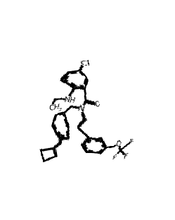 CCNc1ccc(Cl)cc1C(=O)N(CCc1cccc(OC(F)(F)F)c1)Cc1ccc(C2CCC2)cc1